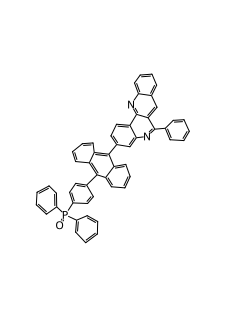 O=P(c1ccccc1)(c1ccccc1)c1ccc(-c2c3ccccc3c(-c3ccc4c(c3)nc(-c3ccccc3)c3cc5ccccc5nc34)c3ccccc23)cc1